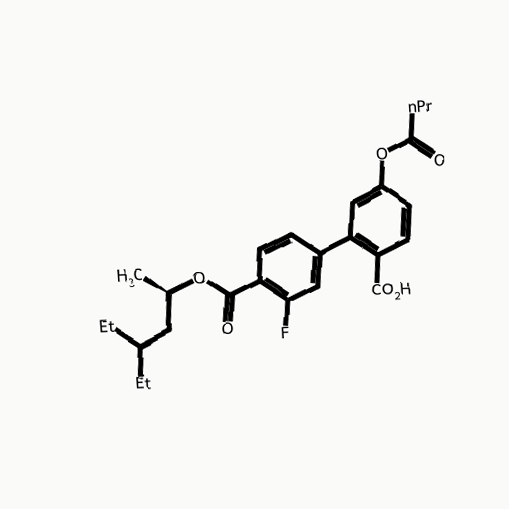 CCCC(=O)Oc1ccc(C(=O)O)c(-c2ccc(C(=O)O[C@H](C)CC(CC)CC)c(F)c2)c1